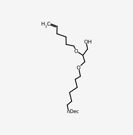 C=CCCCCOC(CO)COCCCCCCCCCCCCCCCC